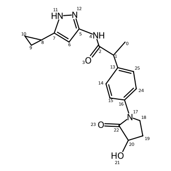 CC(C(=O)Nc1cc(C2CC2)[nH]n1)c1ccc(N2CCC(O)C2=O)cc1